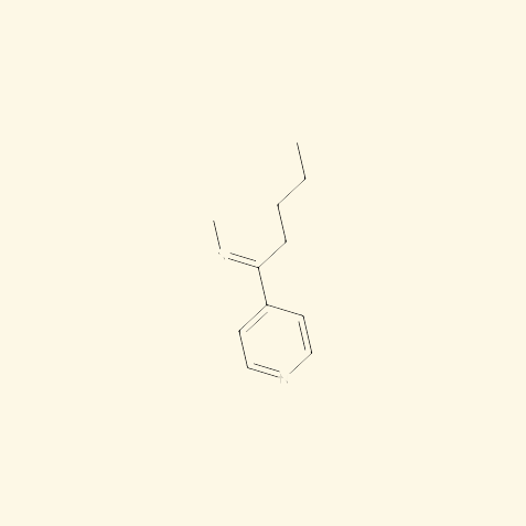 [CH2]CCCC(=NC)c1ccncc1